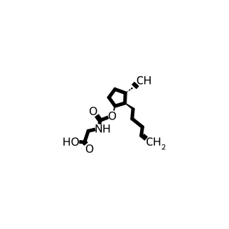 C#C[C@H]1CC[C@@H](OC(=O)NCC(=O)O)[C@@H]1CCCC=C